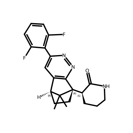 CC1(C)[C@H]2CC[C@]1([C@@H]1CCCNC1=O)c1nnc(-c3c(F)cccc3F)cc12